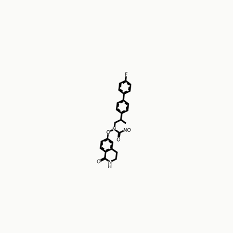 CC(CN(Oc1ccc2c(c1)CCNC2=O)C(=O)N=O)c1ccc(-c2ccc(F)cc2)cc1